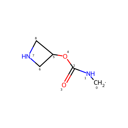 [CH2]NC(=O)OC1CNC1